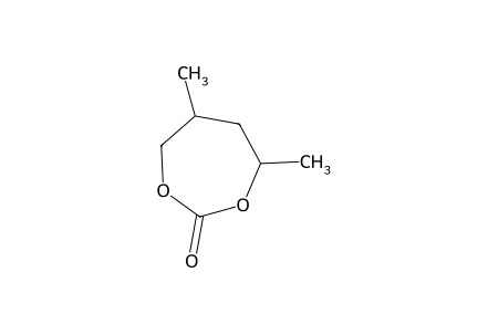 CC1COC(=O)OC(C)C1